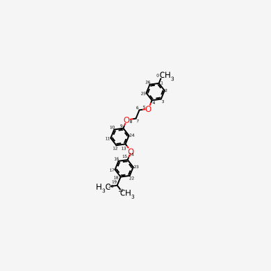 Cc1ccc(OCCOc2cccc(Oc3ccc(C(C)C)cc3)c2)cc1